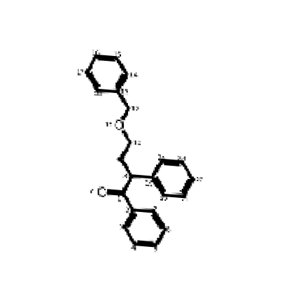 O=C(c1ccccc1)C(CCOCc1ccccc1)c1ccccc1